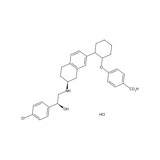 Cl.O=C(O)c1ccc(OC2CCCCC2c2ccc3c(c2)C[C@@H](NC[C@@H](O)c2ccc(Cl)cc2)CC3)cc1